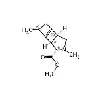 COC(=O)[C@@H]1[C@H]2C3=C(C[C@@H]3C)[C@H]2CN1C